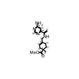 C=C(NCC1=CCC(C)(C(=O)OC)CC1)c1cc(N)ncn1